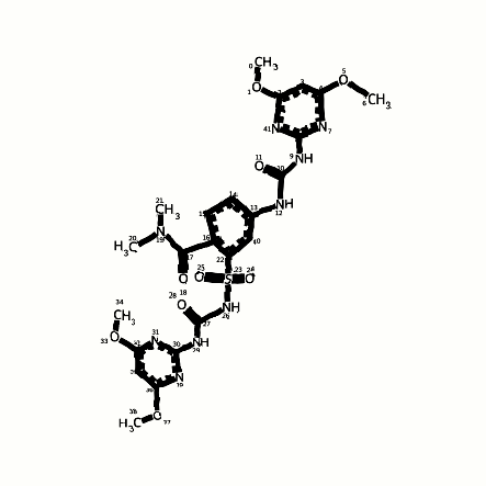 COc1cc(OC)nc(NC(=O)Nc2ccc(C(=O)N(C)C)c(S(=O)(=O)NC(=O)Nc3nc(OC)cc(OC)n3)c2)n1